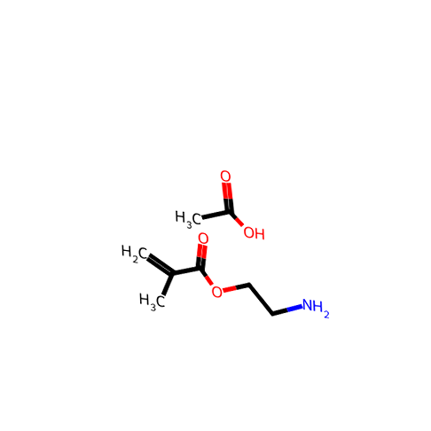 C=C(C)C(=O)OCCN.CC(=O)O